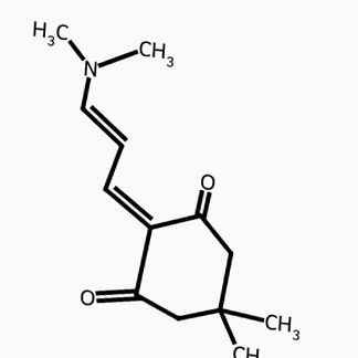 CN(C)/C=C/C=C1C(=O)CC(C)(C)CC1=O